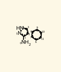 Nc1cc[nH]n1.c1ccccc1